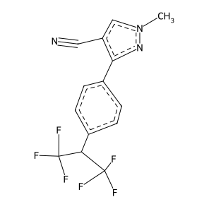 Cn1cc(C#N)c(-c2ccc(C(C(F)(F)F)C(F)(F)F)cc2)n1